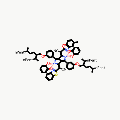 CCCCCC(C)CCC(COc1cccc(-c2c3/c(=C(\C#N)c4nc5ccccc5s4)n(B4Oc5ccccc5O4)c(-c4cccc(OCC(CCC(C)CCCCC)C(C)CCCCC)c4)c3/c(=C(\C#N)c3nc4cc(C)ccc4o3)n2B2Oc3ccccc3O2)c1)C(C)CCCCC